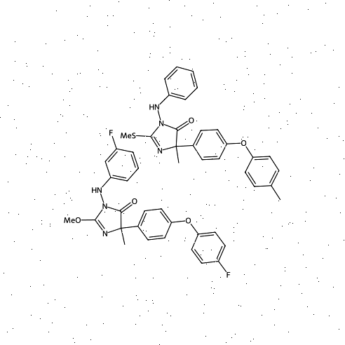 COC1=NC(C)(c2ccc(Oc3ccc(F)cc3)cc2)C(=O)N1Nc1cccc(F)c1.CSC1=NC(C)(c2ccc(Oc3ccc(C)cc3)cc2)C(=O)N1Nc1ccccc1